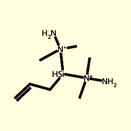 C=CC[SiH]([N+](C)(C)N)[N+](C)(C)N